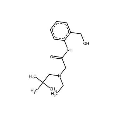 CCN(CC(=O)Nc1ccccc1CO)CC(C)(C)C